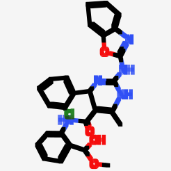 COC(O)c1ccccc1NC(=O)C1=C(C)NC(Nc2nc3ccccc3o2)=NC1c1ccccc1Cl